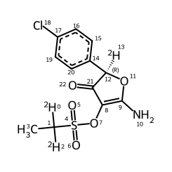 [2H]C([2H])(C)S(=O)(=O)OC1=C(N)O[C@]([2H])(c2ccc(Cl)cc2)C1=O